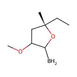 BC1O[C@@](C)(CC)CC1OC